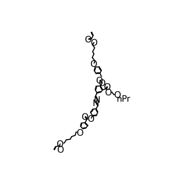 C=CC(=O)OCCCCCCOc1ccc(COOc2ccc(/C=N/N=C/c3ccc(OC(=O)c4ccc(OCCCCCCOC(=O)C=C)cc4)cc3)cc2C(=O)OCCOCCC)cc1